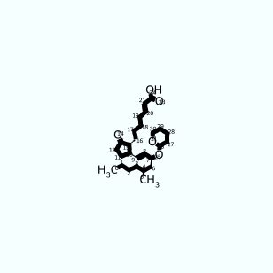 CCCC[C@H](C)C[C@@H](/C=C/[C@@H]1CCC(=O)[C@@H]1CCCC/C=C/C(=O)O)OC1CCCCO1